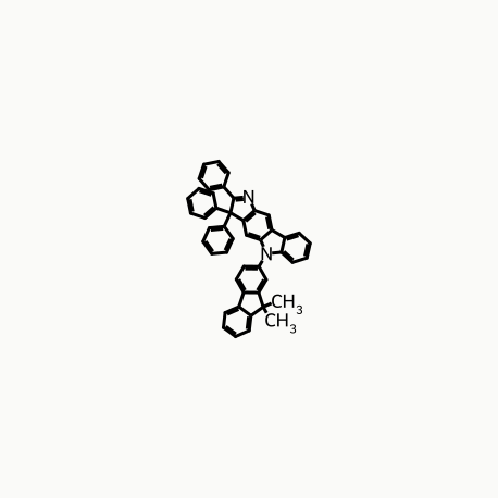 CC1(C)c2ccccc2-c2ccc(-n3c4ccccc4c4cc5c(cc43)C(c3ccccc3)(c3ccccc3)C(c3ccccc3)=N5)cc21